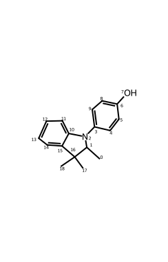 CC1N(c2ccc(O)cc2)c2ccccc2C1(C)C